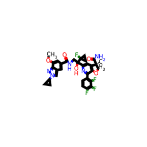 COc1cc(C(=O)NCC(O)(c2cc3c(c(-c4ccc(F)c(F)c4F)n2)OC[C@]3(C)C(N)=O)C2(F)CC2)cc2cn(C3CC3)nc12